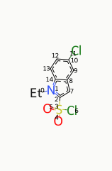 CCn1c(S(=O)(=O)Cl)cc2cc(Cl)ccc21